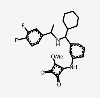 COc1c(Nc2cccc(C(NC(C)c3ccc(F)c(F)c3)C3CCCCC3)c2)c(=O)c1=O